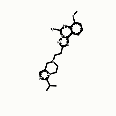 COc1cccc2c1nc(N)n1nc(CCN3CCn4c(cnc4C(C)C)C3)nc21